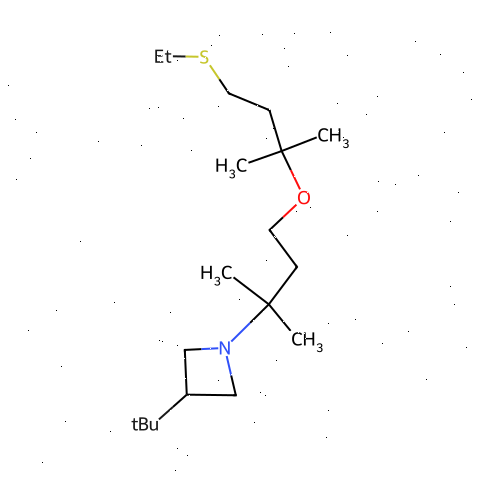 CCSCCC(C)(C)OCCC(C)(C)N1CC(C(C)(C)C)C1